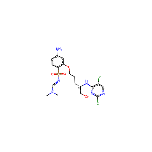 CN(C)C=NS(=O)(=O)c1ccc(N)cc1OCCC[C@@H](CO)Nc1nc(Cl)ncc1Br